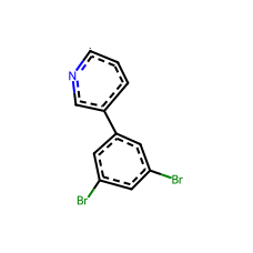 Brc1cc(Br)cc(-c2cc[c]nc2)c1